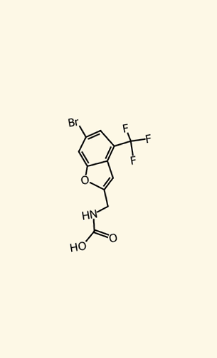 O=C(O)NCc1cc2c(C(F)(F)F)cc(Br)cc2o1